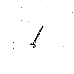 C=CC(OC(C)=O)=C(C)C(=O)OCCCCCCCCCCCCCCCC